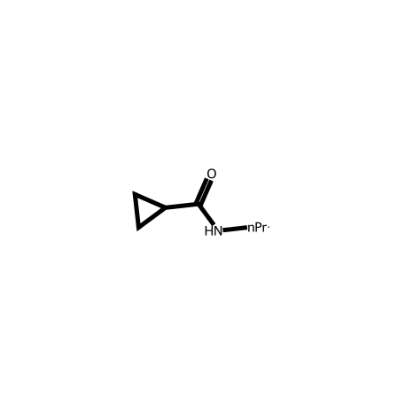 CC[CH]NC(=O)C1CC1